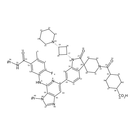 Cc1cc(F)c(Nc2nc(-c3ccc4c(c3)N([C@H]3C[C@@H](N5CCCCC5)C3)C(=O)C43CCN(C(=O)C4CCC(C(=O)O)CC4)CC3)cc3ncn(C(C)C)c23)cc1C(=O)NC(C)C